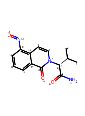 CC(C)[C@H](C(N)=O)n1ccc2c(N=O)cccc2c1=O